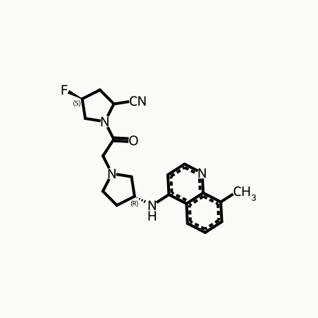 Cc1cccc2c(N[C@@H]3CCN(CC(=O)N4C[C@@H](F)CC4C#N)C3)ccnc12